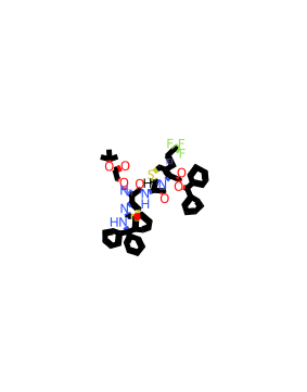 CC(C)(C)OC(=O)CO/N=C(\C(=O)NC1C(=O)N2C(C(=O)OC(c3ccccc3)c3ccccc3)=C(/C=C/C(F)(F)F)CS[C@H]12)c1csc(NC(c2ccccc2)(c2ccccc2)c2ccccc2)n1